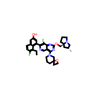 CCc1c(F)ccc2cc(O)cc(-c3ncc4c(N5CCCC6(CCO6)C5)nc(OC[C@@]56CCCN5C[C@H](C)C6)nc4c3F)c12